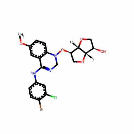 COc1ccc2c(c1)C(Nc1ccc(Br)c(Cl)c1)=NCN2O[C@@H]1CO[C@@H]2[C@H]1OC[C@H]2O